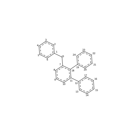 [CH](c1ccccc1)c1cccc(-c2ccccc2)c1-c1ccccc1